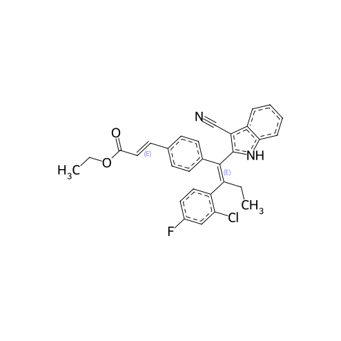 CCOC(=O)/C=C/c1ccc(/C(=C(/CC)c2ccc(F)cc2Cl)c2[nH]c3ccccc3c2C#N)cc1